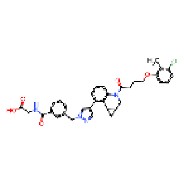 Cc1c(Cl)cccc1OCCCC(=O)N1CC2CC2c2c(-c3cnn(Cc4cccc(C(=O)NCC(=O)O)c4)c3)cccc21